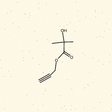 C#CCOC(=O)C(C)(C)O